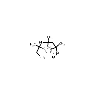 CCC(C)(C)NC(C)(C)CC(C)(C)NC